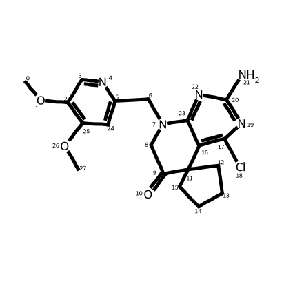 COc1cnc(CN2CC(=O)C3(CCCC3)c3c(Cl)nc(N)nc32)cc1OC